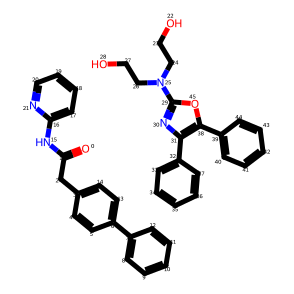 O=C(Cc1ccc(-c2ccccc2)cc1)Nc1ccccn1.OCCN(CCO)c1nc(-c2ccccc2)c(-c2ccccc2)o1